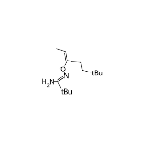 C/C=C(/CCC(C)(C)C)O/N=C(\N)C(C)(C)C